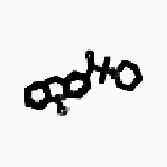 CC(C)(C(=O)c1ccc2c(c1)Cc1ccccc1[S+]2[O-])N1CCCCC1